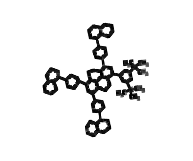 C[Si](C)(C)c1cc(-c2cc(-c3ccc(-c4cccc5ccccc45)cc3)c3ccc4c(-c5ccc(-c6cccc7ccccc67)cc5)cc(-c5ccc(-c6cccc7ccccc67)cc5)c5ccc2c3c45)cc([Si](C)(C)C)c1